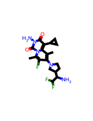 Cc1c(N2CCC(C(N)C(F)F)C2)c(F)c(C)n2c(=O)n(N)c(=O)c(C3CC3)c12